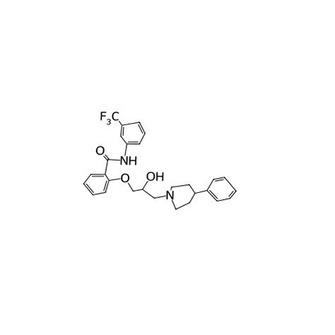 O=C(Nc1cccc(C(F)(F)F)c1)c1ccccc1OCC(O)CN1CCC(c2ccccc2)CC1